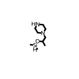 CC(CN1CCNCC1)O[SiH](C)C